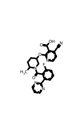 CC1CCC(Oc2nccc(C#N)c2C(=O)O)CN1C(=O)c1c(F)cccc1-c1ncccn1